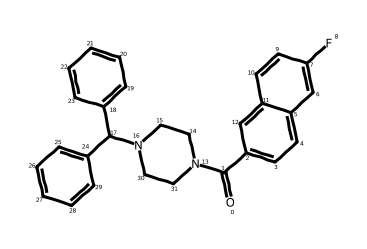 O=C(c1ccc2cc(F)ccc2c1)N1CCN(C(c2ccccc2)c2ccccc2)CC1